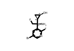 N[C@](CF)(c1cc(Br)cnc1F)[C@H]1C[C@H]1O